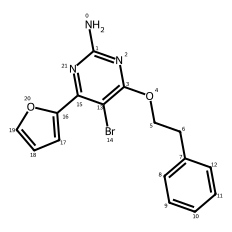 Nc1nc(OCCc2ccccc2)c(Br)c(-c2ccco2)n1